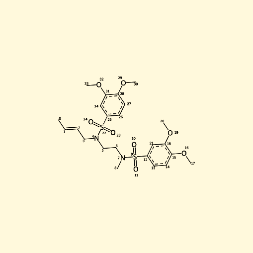 C/C=C/CN(CCN(C)S(=O)(=O)c1ccc(OC)c(OC)c1)S(=O)(=O)c1ccc(OC)c(OC)c1